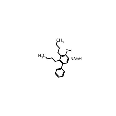 CCCCc1c(O)ccc(-c2ccccc2)c1CCCC.[NaH].[NaH]